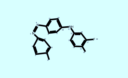 Cc1ccc(/N=N\c2ccc(Nc3ccc(C)c(F)c3)cc2)cc1